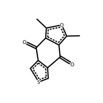 Cc1oc(C)c2c1C(=O)c1cscc1C2=O